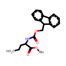 CC(C)(C)OC(=O)C(CCC(=O)O)NC(=O)OCC1c2ccccc2-c2ccccc21